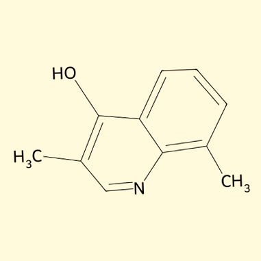 Cc1cnc2c(C)cccc2c1O